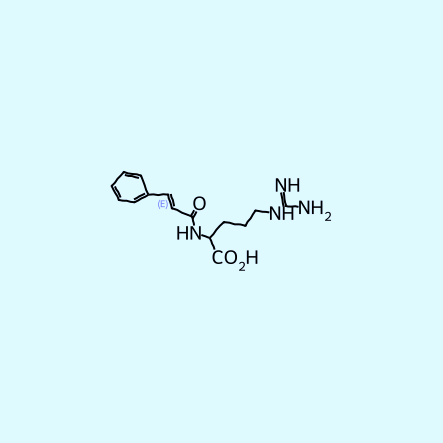 N=C(N)NCCCC(NC(=O)/C=C/c1ccccc1)C(=O)O